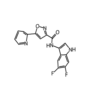 O=C(Nc1c[nH]c2cc(F)c(F)cc12)c1cc(-c2ccccn2)on1